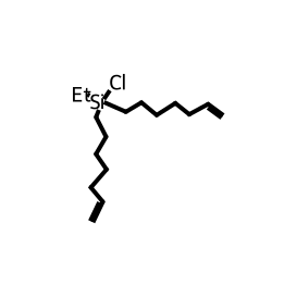 C=CCCCCC[Si](Cl)(CC)CCCCCC=C